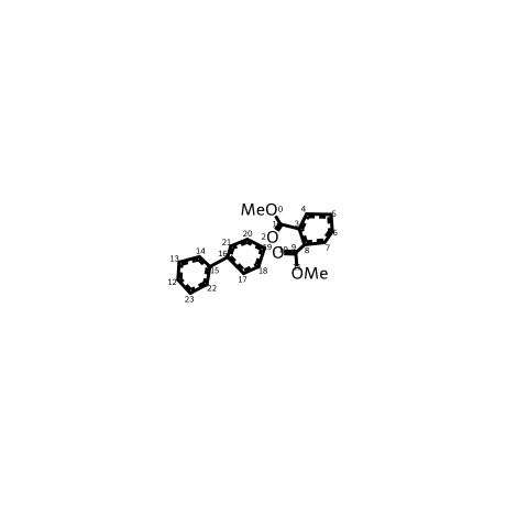 COC(=O)c1ccccc1C(=O)OC.c1ccc(-c2ccccc2)cc1